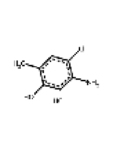 Cc1cc(Cl)c(N)cc1O.Cl